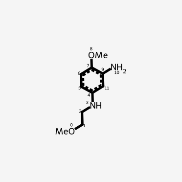 COCCNc1ccc(OC)c(N)c1